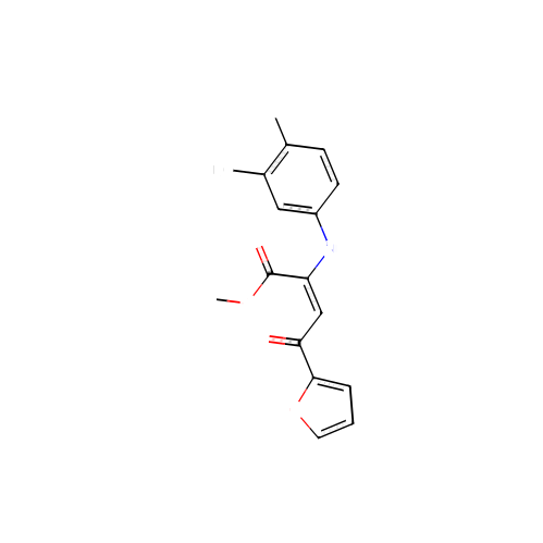 COC(=O)C(=CC(=O)c1ccco1)Nc1ccc(C)c(C)c1